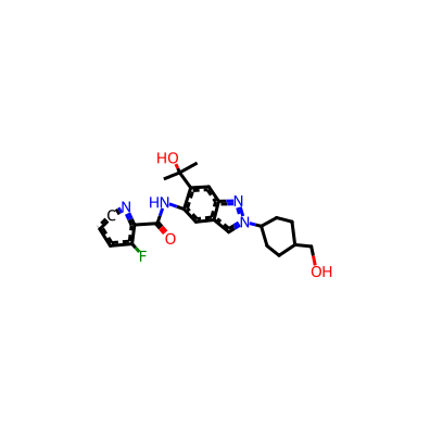 CC(C)(O)c1cc2nn(C3CCC(CO)CC3)cc2cc1NC(=O)c1ncccc1F